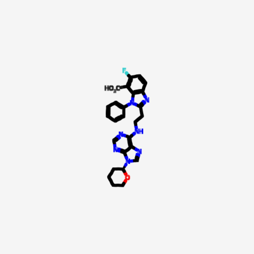 O=C(O)c1c(F)ccc2nc(CCNc3ncnc4c3ncn4[C@@H]3CCCCO3)n(-c3ccccc3)c12